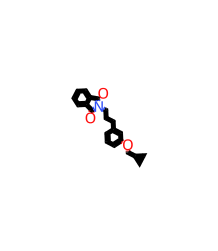 O=C1c2ccccc2C(=O)N1CCCc1cccc(OCC2CC2)c1